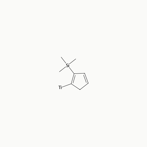 C[Si](C)(C)C1=[C]([Ti])CC=C1